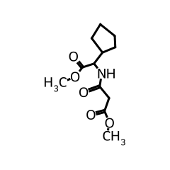 COC(=O)CC(=O)NC(C(=O)OC)C1CCCC1